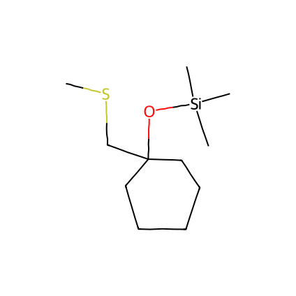 CSCC1(O[Si](C)(C)C)CCCCC1